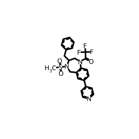 CS(=O)(=O)N1Cc2cc(-c3ccncc3)ccc2N(C(=O)C(F)(F)F)CC1Cc1ccccc1